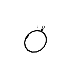 C[C@H]1C/C=C\CCCCCCCCCCC1=O